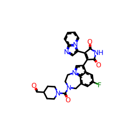 O=CC1CCN(C(=O)N2CCn3cc(C4=C(c5cnc6ccccn56)C(=O)NC4=O)c4cc(F)cc(c43)C2)CC1